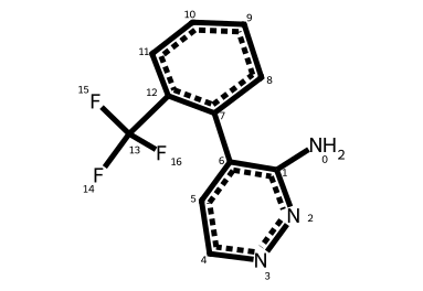 Nc1nnccc1-c1ccccc1C(F)(F)F